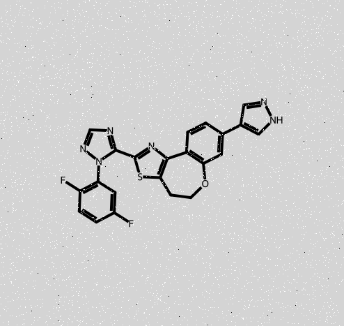 Fc1ccc(F)c(-n2ncnc2-c2nc3c(s2)CCOc2cc(-c4cn[nH]c4)ccc2-3)c1